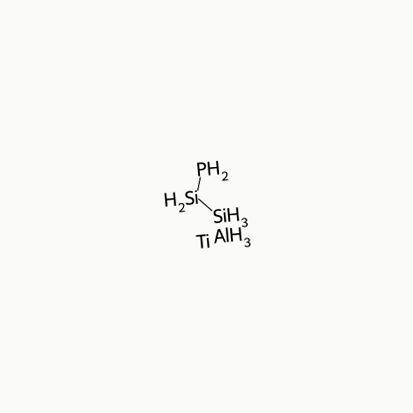 [AlH3].[SiH3][SiH2]P.[Ti]